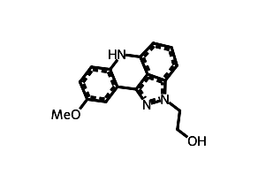 COc1ccc2c(c1)-c1nn(CCO)c3cccc(c13)N2